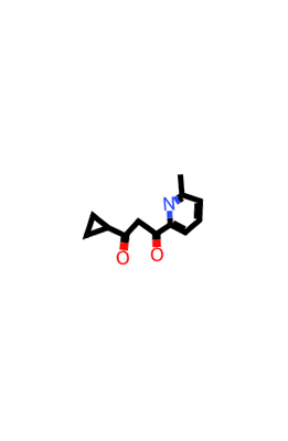 Cc1cccc(C(=O)CC(=O)C2CC2)n1